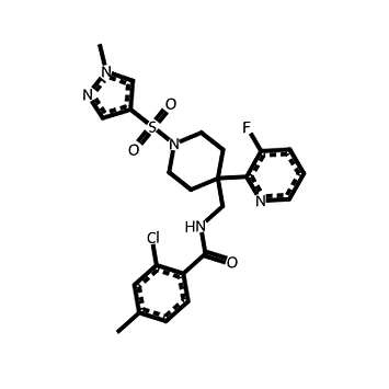 Cc1ccc(C(=O)NCC2(c3ncccc3F)CCN(S(=O)(=O)c3cnn(C)c3)CC2)c(Cl)c1